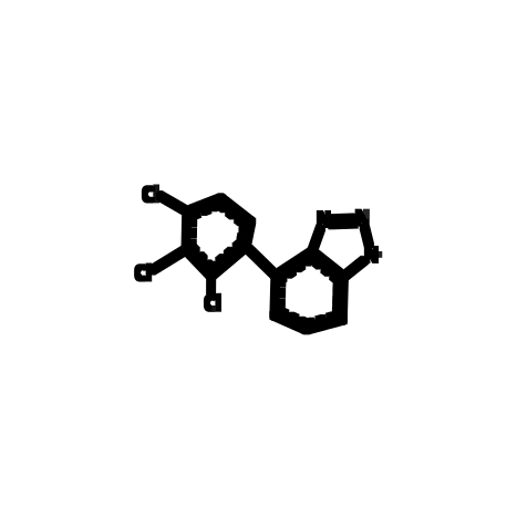 Clc1ccc(-c2cccc3c2N=N[N]3)c(Cl)c1Cl